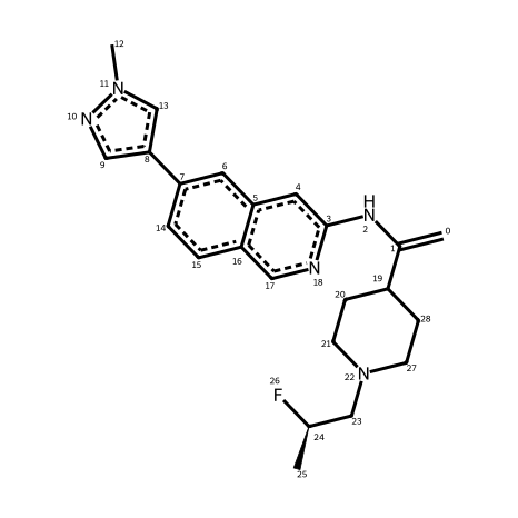 C=C(Nc1cc2cc(-c3cnn(C)c3)ccc2cn1)C1CCN(C[C@@H](C)F)CC1